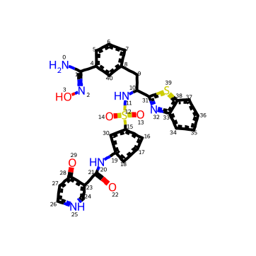 NC(=NO)c1cccc(CC(NS(=O)(=O)c2cccc(NC(=O)c3c[nH]ccc3=O)c2)c2nc3ccccc3s2)c1